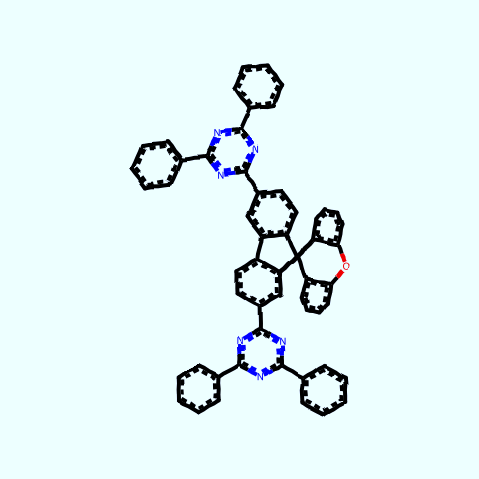 c1ccc(-c2nc(-c3ccccc3)nc(-c3ccc4c(c3)-c3ccc(-c5nc(-c6ccccc6)nc(-c6ccccc6)n5)cc3C43c4ccccc4Oc4ccccc43)n2)cc1